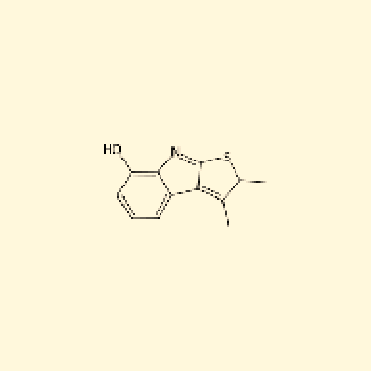 CC1=C2C(=Nc3c(O)cccc32)SC1C